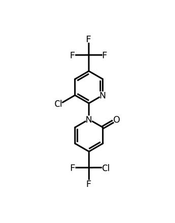 O=c1cc(C(F)(F)Cl)ccn1-c1ncc(C(F)(F)F)cc1Cl